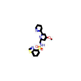 COc1cc(CNS(=O)(=O)c2cccc3scnc23)nc(-c2ccccn2)c1